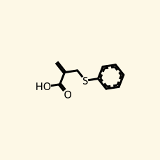 C=C(CSc1ccccc1)C(=O)O